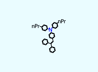 CCCc1ccc(N(c2ccc(C=C(c3ccccc3)c3ccccc3)cc2)c2ccc(CCC)cc2)cc1